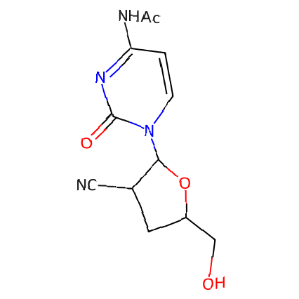 CC(=O)Nc1ccn(C2OC(CO)CC2C#N)c(=O)n1